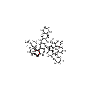 CC(C)(C)c1ccc(N2c3cc4c(cc3B3c5c(cc6oc7ccccc7c6c52)-c2ccc(N(c5ccccc5)c5ccccc5)c5c6c(n3c25)C(C)(C)c2ccccc2-6)Sc2ccccc2O4)c(-c2ccccc2)c1